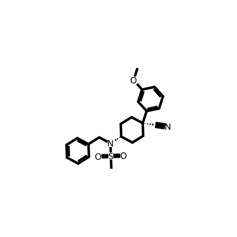 COc1cccc([C@]2(C#N)CC[C@@H](N(Cc3ccccc3)S(C)(=O)=O)CC2)c1